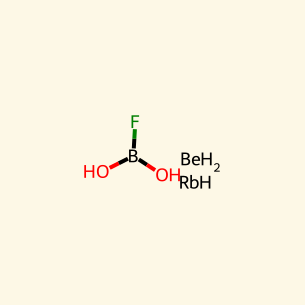 OB(O)F.[BeH2].[RbH]